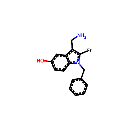 CCc1c(CN)c2cc(O)ccc2n1Cc1ccccc1